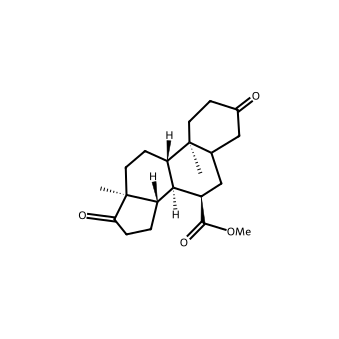 COC(=O)[C@@H]1CC2CC(=O)CC[C@]2(C)[C@H]2CC[C@]3(C)C(=O)CC[C@H]3[C@H]12